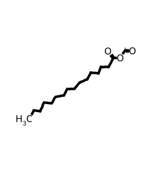 CCCCCCCCCCCCCCCC(=O)O[C]=O